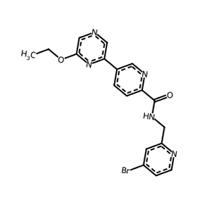 CCOc1cncc(-c2ccc(C(=O)NCc3cc(Br)ccn3)nc2)n1